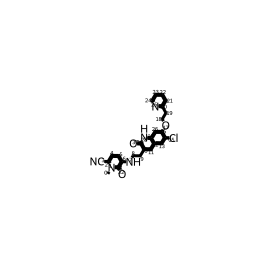 Cn1c(C#N)ccc(NCCc2cc3cc(Cl)c(OCCc4ccccn4)cc3[nH]c2=O)c1=O